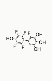 Oc1cc(-c2c(F)c(F)c(O)c(F)c2F)c(F)c(O)c1O